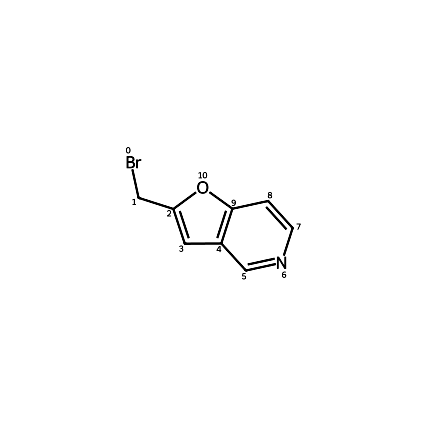 BrCc1cc2cnccc2o1